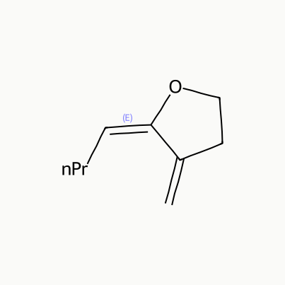 C=C1CCO/C1=C/CCC